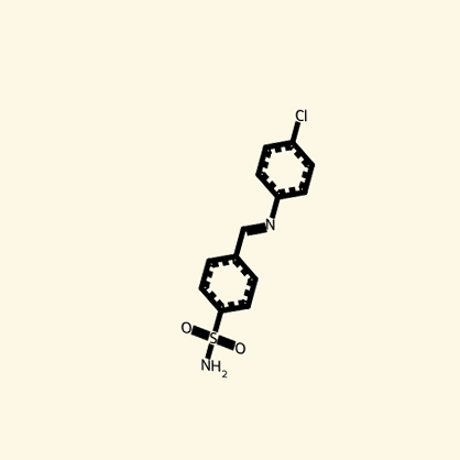 NS(=O)(=O)c1ccc(C=Nc2ccc(Cl)cc2)cc1